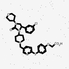 O=C(O)COc1ccc(Sc2ccc(CN3CCC(N4C(=O)N(C5CCOCC5)CC4c4cccc(Cl)c4)CC3)cn2)cc1